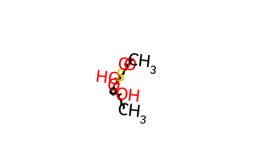 CCCCCC(O)c1cccc(OCC(O)CSCCCC(=O)OCC)c1